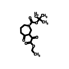 CCOC(=O)C(=O)C1CN(C(=O)OC(C)(C)C)CCCC1=O